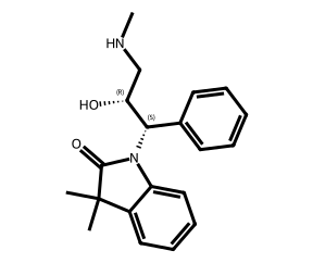 CNC[C@@H](O)[C@H](c1ccccc1)N1C(=O)C(C)(C)c2ccccc21